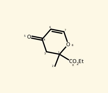 CCOC(=O)C1(C)CC(=O)C=CO1